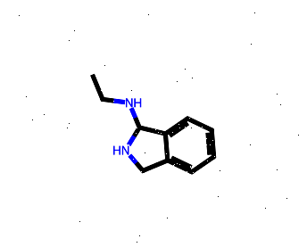 CCNC1NCc2ccccc21